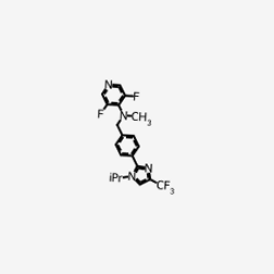 CC(C)n1cc(C(F)(F)F)nc1-c1ccc(CN(C)c2c(F)cncc2F)cc1